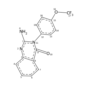 Nc1nc2ccccc2c(=O)n1-c1ccc(OC(F)(F)F)cc1